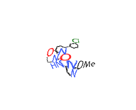 COc1nccc(NC(=O)N2CCCOc3ccc(-c4cccc(Cl)c4)nc32)n1